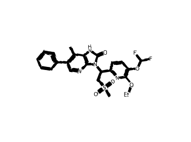 CCOc1nc(C(CS(C)(=O)=O)n2c(=O)[nH]c3c(C)c(-c4ccccc4)cnc32)ccc1OC(F)F